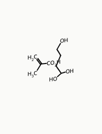 C=C(C)C(=O)O.OCCCC(O)O